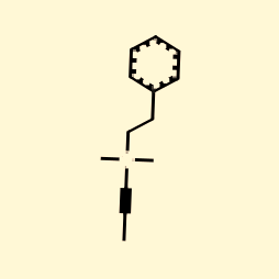 CC#C[Si](C)(C)CCc1ccccc1